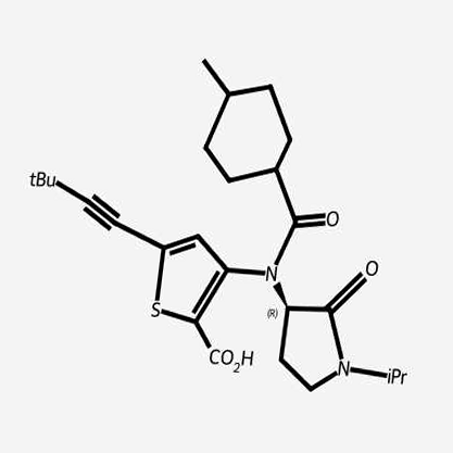 CC1CCC(C(=O)N(c2cc(C#CC(C)(C)C)sc2C(=O)O)[C@@H]2CCN(C(C)C)C2=O)CC1